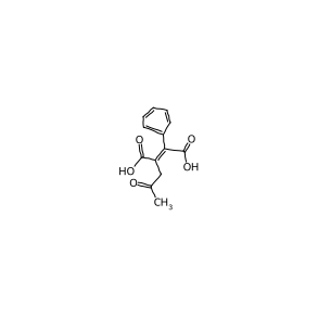 CC(=O)CC(C(=O)O)=C(C(=O)O)c1ccccc1